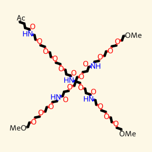 COCCOCCOCCOCCNC(=O)CCOCC(COCCC(=O)NCCOCCOCCOCCOC)(COCCC(=O)NCCOCCOCCOCCOC)NC(=O)CCOCCOCCOCCOCCNC(=O)CCCC(C)=O